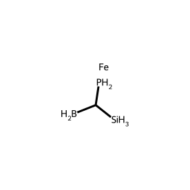 BC([SiH3])P.[Fe]